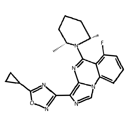 C[C@@H]1CCC[C@H](C)N1c1nc2c(-c3noc(C4CC4)n3)ncn2c2cccc(F)c12